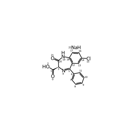 O=C(O)[C@@H]1N=C(c2ccccc2)c2cc(Cl)ccc2NC1=O.[NaH]